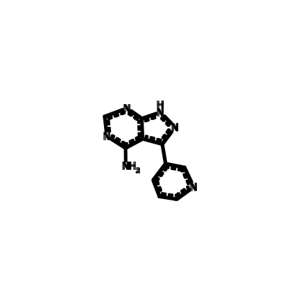 Nc1ncnc2[nH]nc(-c3cccnc3)c12